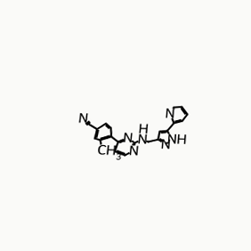 Cc1cc(C#N)ccc1-c1ccnc(NCc2cc(-c3ccccn3)[nH]n2)n1